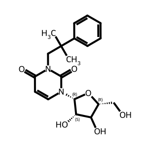 CC(C)(Cn1c(=O)ccn([C@@H]2O[C@H](CO)C(O)[C@@H]2O)c1=O)c1ccccc1